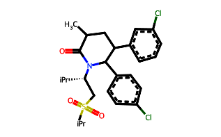 CC1CC(c2cccc(Cl)c2)C(c2ccc(Cl)cc2)N([C@H](CS(=O)(=O)C(C)C)C(C)C)C1=O